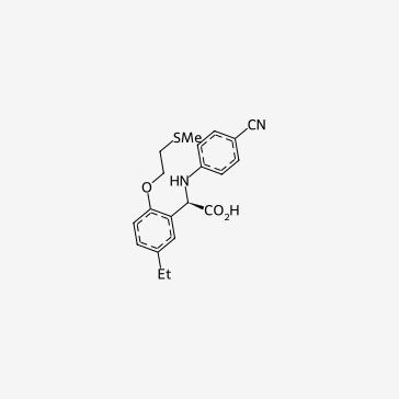 CCc1ccc(OCCSC)c([C@@H](Nc2ccc(C#N)cc2)C(=O)O)c1